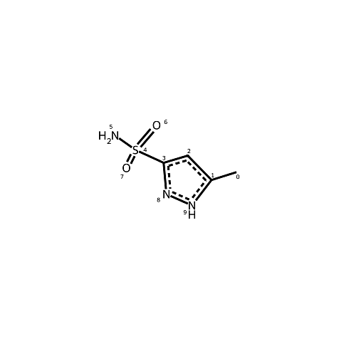 Cc1cc(S(N)(=O)=O)n[nH]1